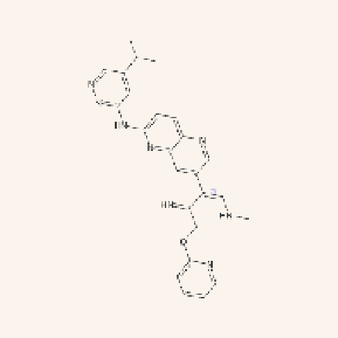 CN/C=C(\C(=N)COc1ccccn1)c1cnc2ccc(Nc3cc(C(C)C)cnn3)nc2c1